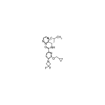 CC(C)C[C@H](NC(=O)c1ccc(N2CC(F)(F)C2)c(OCC2CC2)n1)c1cccnn1